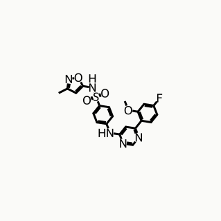 COc1cc(F)ccc1-c1cc(Nc2ccc(S(=O)(=O)Nc3cc(C)no3)cc2)ncn1